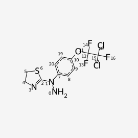 NN(C1=NCCS1)c1ccc(OC(F)(F)C(F)(Cl)Cl)cc1